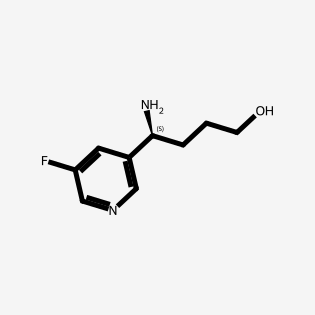 N[C@@H](CCCO)c1cncc(F)c1